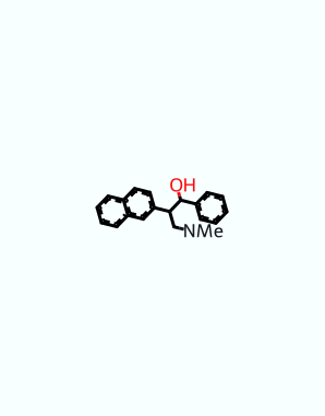 CNCC(c1ccc2ccccc2c1)C(O)c1ccccc1